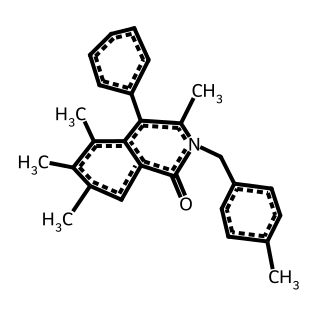 Cc1ccc(Cn2c(C)c(-c3ccccc3)c3c(C)c(C)c(C)cc3c2=O)cc1